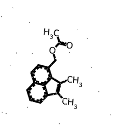 CC(=O)OCc1ccc2cccc3c2c1C(C)=C3C